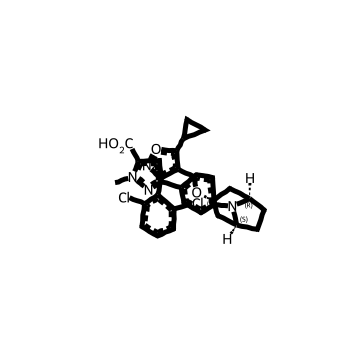 Cn1nc(-c2ccc(N3[C@@H]4CC[C@H]3C[C@H](OCc3c(-c5c(Cl)cccc5Cl)noc3C3CC3)C4)cc2)cc1C(=O)O